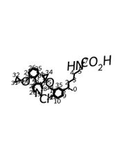 C[C@H](CCCCNC(=O)O)c1ccc(Cl)c(COC2(c3cnccc3-c3ccccc3OC3CC3)CC2)c1